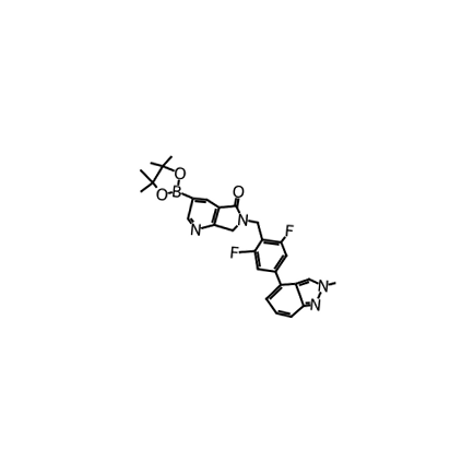 Cn1cc2c(-c3cc(F)c(CN4Cc5ncc(B6OC(C)(C)C(C)(C)O6)cc5C4=O)c(F)c3)cccc2n1